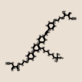 C=C(CO)C(=O)OCCOc1ccc(C#Cc2ccc(-c3ccc(-c4ccc(OCCOC(=O)C(=C)CO)cc4)cc3CCCCCCC(F)(F)F)cc2)cc1